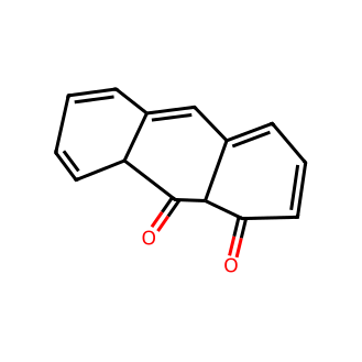 O=C1C=CC=C2C=C3C=CC=CC3C(=O)C12